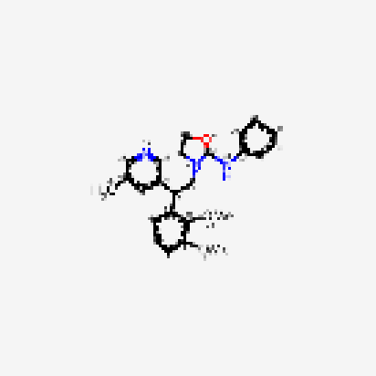 COc1cccc(C(CN2CCOC2Nc2ccccc2)c2cncc(C)c2)c1OC